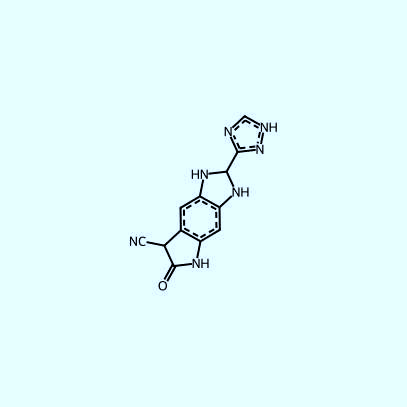 N#CC1C(=O)Nc2cc3c(cc21)NC(c1nc[nH]n1)N3